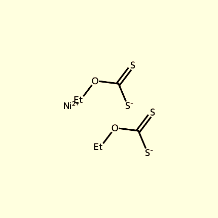 CCOC(=S)[S-].CCOC(=S)[S-].[Ni+2]